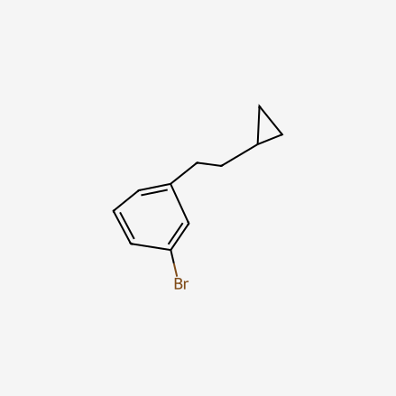 Brc1cccc(CCC2CC2)c1